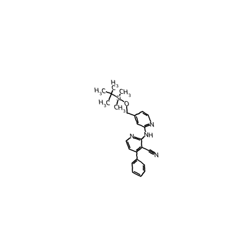 CC(C)(C)[Si](C)(C)OCc1ccnc(Nc2nccc(-c3ccccc3)c2C#N)c1